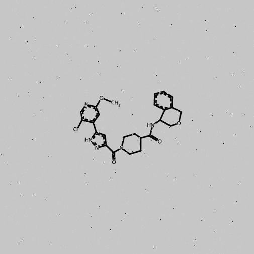 COc1cc(-c2cc(C(=O)N3CCC(C(=O)NC4COCc5ccccc54)CC3)n[nH]2)c(Cl)cn1